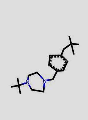 CC(C)(C)Cc1ccc(CN2CCN(C(C)(C)C)CC2)cc1